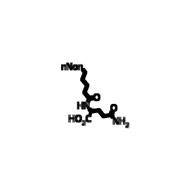 CCCCCCCCCCCCCC(=O)N[C@@H](CCC(N)=O)C(=O)O